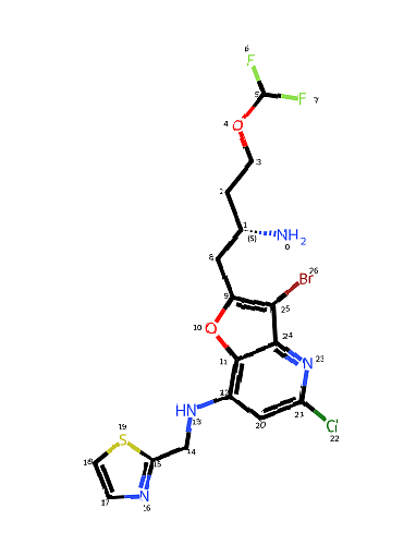 N[C@@H](CCOC(F)F)Cc1oc2c(NCc3nccs3)cc(Cl)nc2c1Br